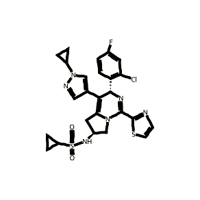 O=S(=O)(N[C@H]1CC2=C(c3cnn(C4CC4)c3)[C@H](c3ccc(F)cc3Cl)N=C(c3nccs3)N2C1)C1CC1